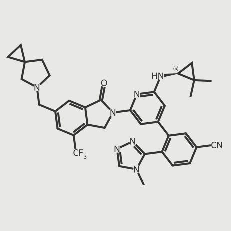 Cn1cnnc1-c1ccc(C#N)cc1-c1cc(N[C@H]2CC2(C)C)nc(N2Cc3c(cc(CN4CCC5(CC5)C4)cc3C(F)(F)F)C2=O)c1